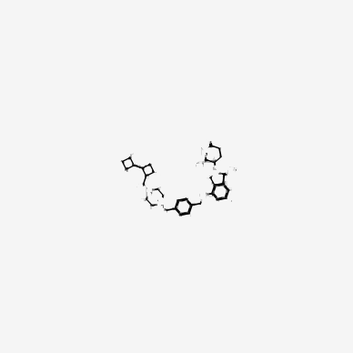 O=C1CCC(N2Cc3c(OCc4ccc(CN5CCN(CC6CCC6C6CCC6)CC5)cc4)cccc3C2=O)C(=O)N1